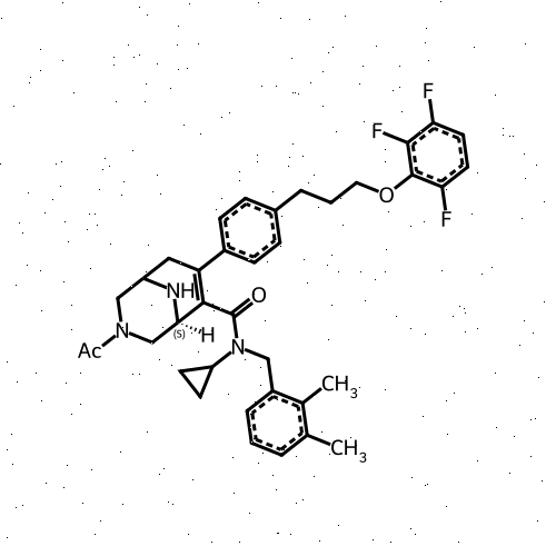 CC(=O)N1CC2CC(c3ccc(CCCOc4c(F)ccc(F)c4F)cc3)=C(C(=O)N(Cc3cccc(C)c3C)C3CC3)[C@@H](C1)N2